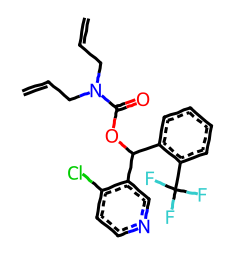 C=CCN(CC=C)C(=O)OC(c1cnccc1Cl)c1ccccc1C(F)(F)F